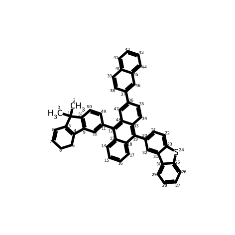 CC1(C)C2=C(CCC=C2)c2cc(-c3c4ccccc4c(-c4ccc5sc6ccccc6c5c4)c4ccc(-c5ccc6ccccc6c5)cc34)ccc21